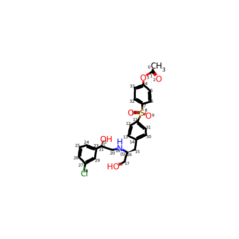 CC(=O)Oc1ccc(S(=O)(=O)c2ccc(C[C@@H](CO)NC[C@@H](O)c3cccc(Cl)c3)cc2)cc1